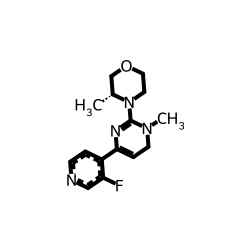 C[C@@H]1COCCN1C1=NC(c2ccncc2F)=CCN1C